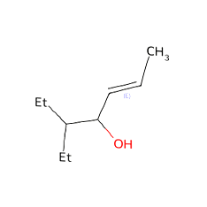 C/C=C/C(O)C(CC)CC